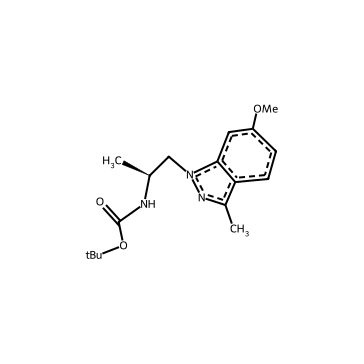 COc1ccc2c(C)nn(C[C@H](C)NC(=O)OC(C)(C)C)c2c1